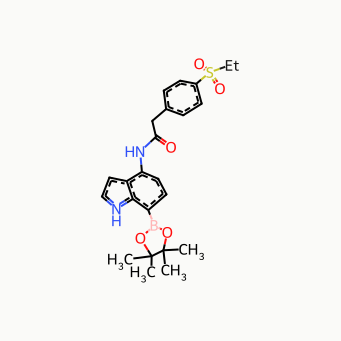 CCS(=O)(=O)c1ccc(CC(=O)Nc2ccc(B3OC(C)(C)C(C)(C)O3)c3[nH]ccc23)cc1